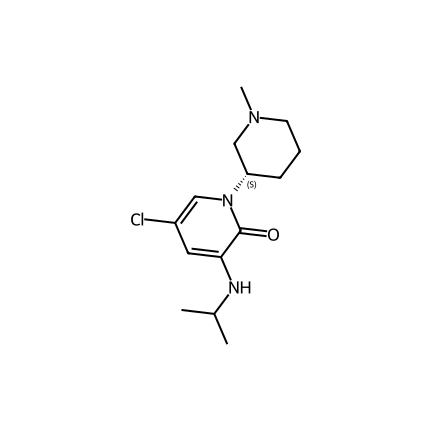 CC(C)Nc1cc(Cl)cn([C@H]2CCCN(C)C2)c1=O